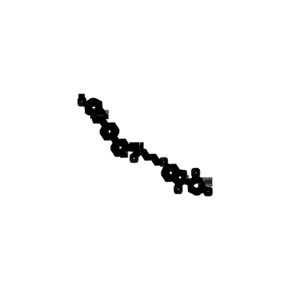 COc1ccc2nc(-c3ccc(-c4ccnc(NC(=O)CCCCOc5ccc6c(c5)CN(C5CCC(=O)NC5=O)C6=O)c4)cc3)cn2c1